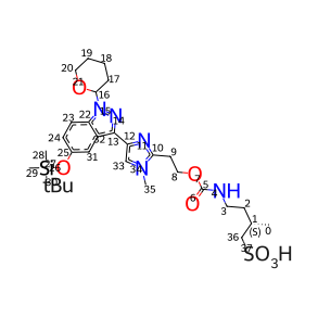 C[C@@H](CCNC(=O)OCCc1nc(-c2nn(C3CCCCO3)c3ccc(O[Si](C)(C)C(C)(C)C)cc23)cn1C)CS(=O)(=O)O